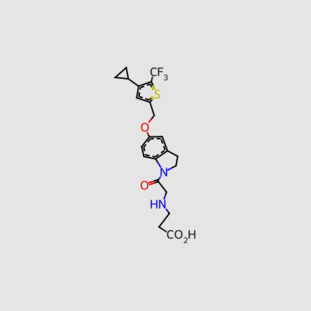 O=C(O)CCNCC(=O)N1CCc2cc(OCc3cc(C4CC4)c(C(F)(F)F)s3)ccc21